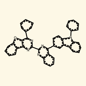 c1ccc(-c2nc(-c3nc(-c4ccc5c(c4)c4ccccc4n5-c4ccccc4)c4ccccc4n3)nc3c2oc2ccccc23)cc1